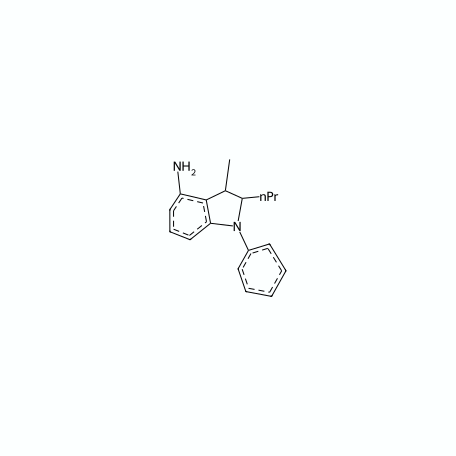 CCCC1C(C)c2c(N)cccc2N1c1ccccc1